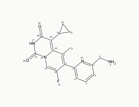 Cc1c(-c2cccc(CN)n2)c(F)cn2c(=O)[nH]c(=O)c(C3CC3)c12